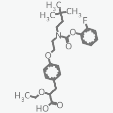 CCOC(Cc1ccc(OCCN(CCC(C)(C)C)C(=O)Oc2ccccc2F)cc1)C(=O)O